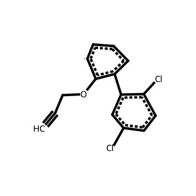 C#CCOc1[c]cccc1-c1cc(Cl)ccc1Cl